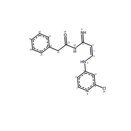 N=C(/C=C\Nc1ccnc(Cl)c1)NC(=O)Cc1ccccc1